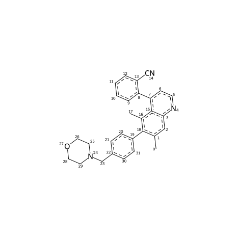 Cc1cc2nccc(-c3ccccc3C#N)c2c(C)c1-c1ccc(CN2CCOCC2)cc1